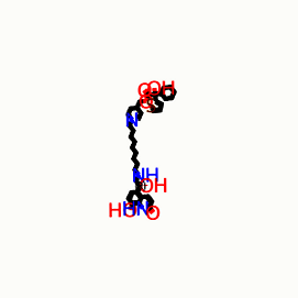 O=C(OCC1CCN(CCCCCCCCCNC[C@H](O)c2ccc(O)c3[nH]c(=O)ccc23)CC1)C(O)(c1cccs1)C1CCCCC1